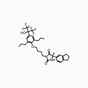 CCCc1cc(C(O)(C(F)(F)F)C(F)(F)F)cc(CCC)c1OCCCCN1C(=O)NC(C)(c2ccc3c(c2)CCC3)C1=O